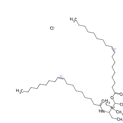 CCCCCCCC/C=C\CCCCCCCC(=O)NC(CC)[N+](C)(C)C(C)OC(=O)CCCCCCC/C=C\CCCCCCCC.[Cl-]